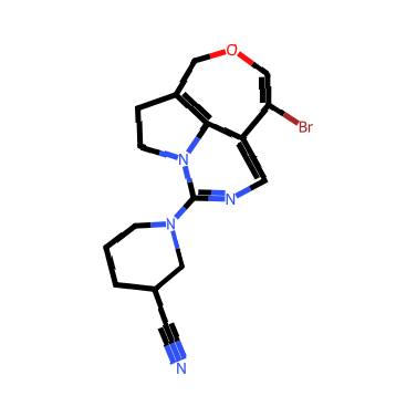 N#CC1CCCN(C2=NC=C3C(Br)=COCC4=C3N2CC4)C1